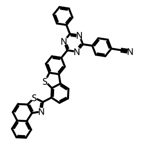 N#Cc1ccc(-c2nc(-c3ccccc3)nc(-c3ccc4sc5c(-c6nc7c(ccc8ccccc87)s6)cccc5c4c3)n2)cc1